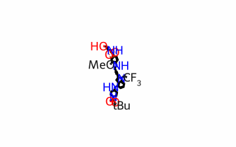 COc1cc(S(=O)(=O)NCCO)ccc1NCC#Cc1cc2c(NC3CCN(C(=O)OC(C)(C)C)CC3)cccc2n1CC(F)(F)F